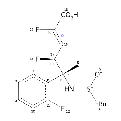 CC(C)(C)[S+]([O-])N[C@](C)(c1ccccc1F)[C@@H](F)/C=C(\F)C(=O)O